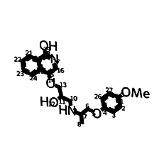 COc1ccc(OCC(C)NCC(O)COc2cnc(O)c3ccccc23)cc1